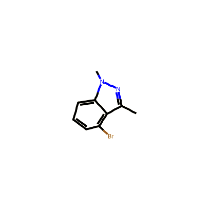 Cc1nn(C)c2cccc(Br)c12